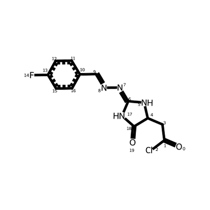 O=C(Cl)CC1NC(=NN=Cc2ccc(F)cc2)NC1=O